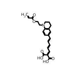 C=CC(=O)OCCN1CCCc2cc(/C=C/C=C/C=C(C(=O)O)C(=O)O)ccc21